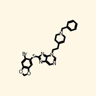 Brc1cc2c(cc1Sc1nc3cncn(CCC4=CCN(Cc5ccccc5)CC4)c-3n1)OCO2